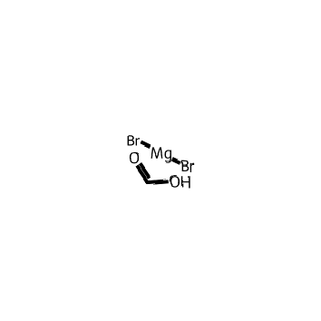 O=CO.[Br][Mg][Br]